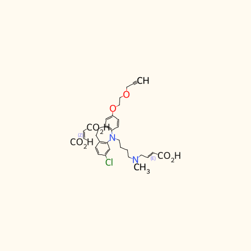 C#CCOCCOc1ccc2c(c1)CCc1ccc(Cl)cc1N2CCCCN(C)C/C=C/C(=O)O.O=C(O)/C=C\C(=O)O